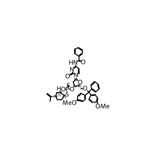 C=C(C)[C@@H]1CC[C@]2(C)SP(=S)(O[C@H]3C[C@H](n4ccc(NC(=O)c5ccccc5)nc4=O)O[C@@H]3COC(c3ccccc3)(c3ccc(OC)cc3)c3ccc(OC)cc3)O[C@H]2C1